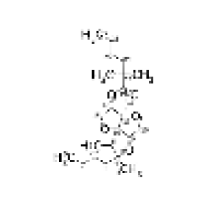 CCCCC(C)(CC)O[C@@H]1CO[C@@]2(I)C1OC[C@H]2OC(=O)C(C)(C)CCCC